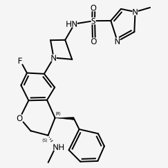 CN[C@@H]1COc2cc(F)c(N3CC(NS(=O)(=O)c4cn(C)cn4)C3)cc2[C@H]1Cc1ccccc1